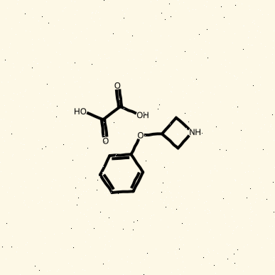 O=C(O)C(=O)O.c1ccc(OC2CNC2)cc1